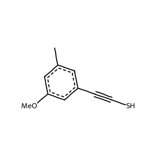 COc1cc(C)cc(C#CS)c1